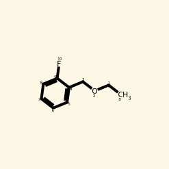 C[CH]OCc1ccccc1F